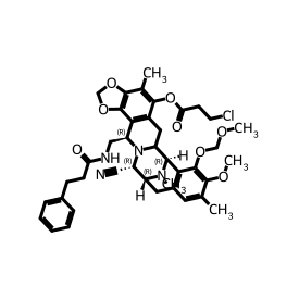 COCOc1c(OC)c(C)cc2c1[C@@H]1C3Cc4c(OC(=O)CCCl)c(C)c5c(c4[C@H](CNC(=O)CCc4ccccc4)N3[C@@H](C#N)[C@@H](C2)N1C)OCO5